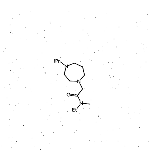 CCN(C)C(=O)CN1CCCN(C(C)C)CC1